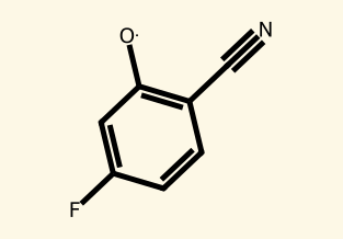 N#Cc1ccc(F)cc1[O]